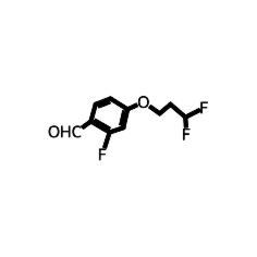 O=Cc1ccc(OCCC(F)F)cc1F